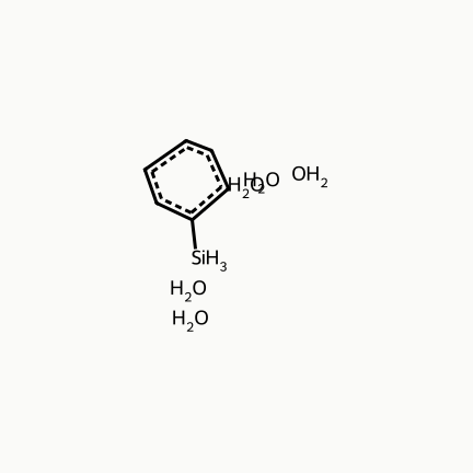 O.O.O.O.O.[SiH3]c1ccccc1